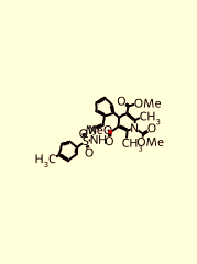 COC(=O)C1=C(C)N(C(=O)OC)C(C)=C(C(=O)OC)C1c1ccccc1C=NNS(=O)(=O)c1ccc(C)cc1